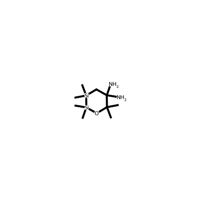 CC1(C)O[Si](C)(C)[Si](C)(C)CC1(N)N